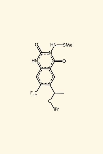 CSNn1c(=O)[nH]c2cc(C(F)(F)F)c(C(C)OC(C)C)cc2c1=O